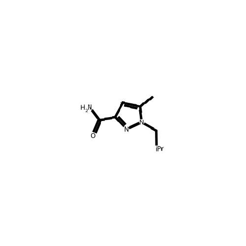 Cc1[c]c(C(N)=O)nn1CC(C)C